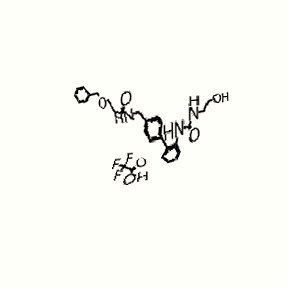 O=C(CCOCc1ccccc1)NCc1ccc(-c2ccccc2NC(=O)NCCO)cc1.O=C(O)C(F)(F)F